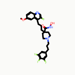 COc1ccc2ncc(F)c(CCCC3(C(=O)NO)CCN(CCCc4cc(F)c(F)c(F)c4)CC3)c2c1